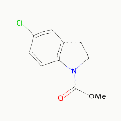 COC(=O)N1CCc2cc(Cl)ccc21